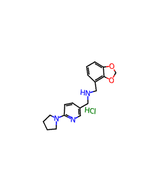 Cl.c1cc(CNCc2ccc(N3CCCC3)nc2)c2c(c1)OCO2